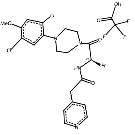 COc1cc(Cl)c(N2CCN(C(=O)[C@H](NC(=O)Cc3ccncc3)C(C)C)CC2)cc1Cl.O=C(O)C(F)(F)F